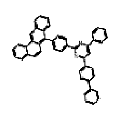 c1ccc(-c2ccc(-c3cc(-c4ccccc4)nc(-c4ccc(-c5c6ccccc6cc6c5ccc5ccccc56)cc4)n3)cc2)cc1